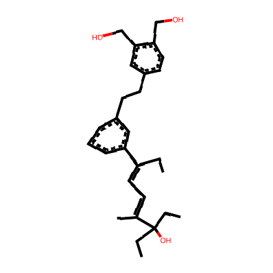 CC/C(=C\C=C(/C)C(O)(CC)CC)c1cccc(CCc2ccc(CO)c(CO)c2)c1